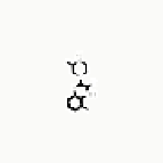 Cc1cccc2nc(N3CCNC(C)C3)c(=O)[nH]c12